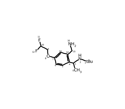 CC(NC(C)(C)C)c1ccc(OCC(F)F)cc1CN